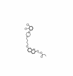 CCC(=O)OCOc1ccc2ccc(OCCCCN3CCN(c4cccc(Cl)c4Cl)CC3)cc2n1